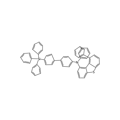 c1ccc(-c2cccc3sc4cccc(N(c5ccccc5)c5ccc(-c6ccc([Si](c7ccccc7)(c7ccccc7)c7ccccc7)cc6)cc5)c4c23)cc1